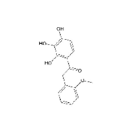 COc1ccccc1CC(=O)c1ccc(O)c(O)c1O